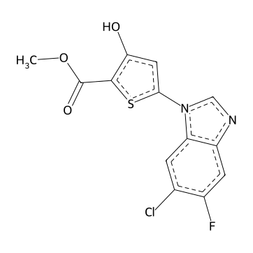 COC(=O)c1sc(-n2cnc3cc(F)c(Cl)cc32)cc1O